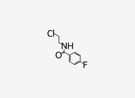 O=C(NCCCl)c1ccc(F)cc1